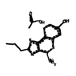 CC(=O)O.CCCc1nc2c(N)nc3cc(O)ccc3c2s1